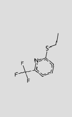 CCSc1cccc(C(F)(F)F)n1